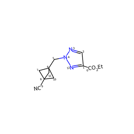 CCOC(=O)c1cnn(CC23CC(C#N)(C2)C3)n1